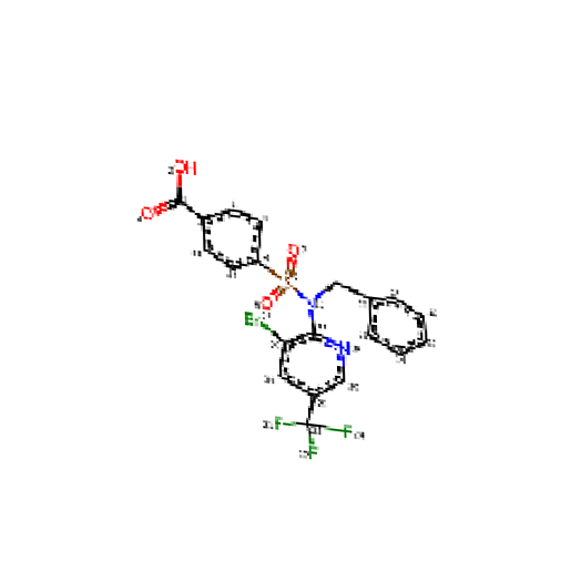 O=C(O)c1ccc(S(=O)(=O)N(Cc2ccccc2)c2ncc(C(F)(F)F)cc2Br)cc1